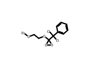 CCOCCOC1(C(Cl)(Cl)c2ccccc2)OO1